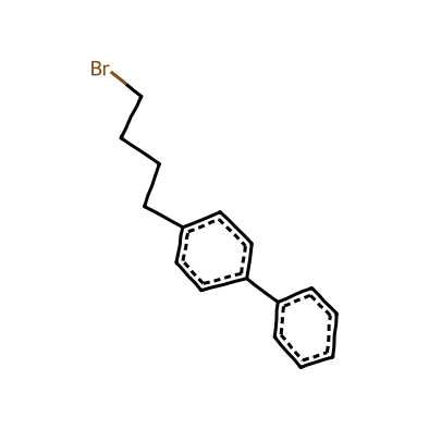 BrCCCCc1ccc(-c2ccccc2)cc1